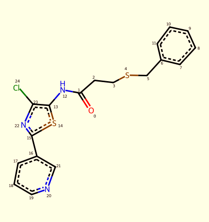 O=C(CCSCc1ccccc1)Nc1sc(-c2cccnc2)nc1Cl